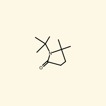 CC(C)(C)N1C(=O)CCC1(C)C